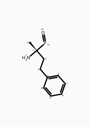 C[C@](N)(CCc1ccccc1)P=O